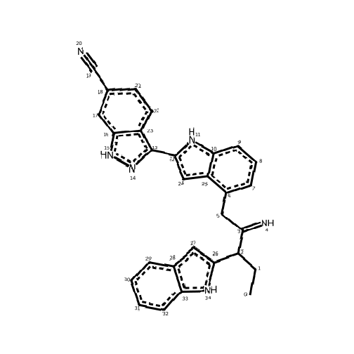 CCC(C(=N)Cc1cccc2[nH]c(-c3n[nH]c4cc(C#N)ccc34)cc12)c1cc2ccccc2[nH]1